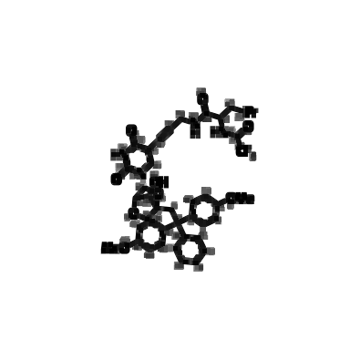 COc1ccc(C(CC23COC(C2O)[C@H](n2cc(C#CCNC(=O)C(CC(C)C)NC(=O)C(F)(F)F)c(=O)[nH]c2=O)O3)(c2ccccc2)c2ccc(OC)cc2)cc1